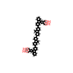 CC1(C)c2cc(-c3ccc4c(c3)C(C)(C)c3cc(-c5ccc6c(c5)C(CCCO)(CCCO)c5ccccc5-6)ccc3-4)ccc2-c2ccc(-c3ccc4c(c3)C(CCCO)(CCCO)c3ccccc3-4)cc21